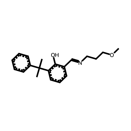 COCCC/N=C/c1cccc(C(C)(C)c2ccccc2)c1O